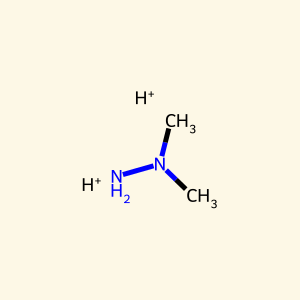 CN(C)N.[H+].[H+]